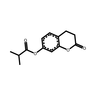 CC(C)C(=O)Oc1ccc2c(c1)OC(=O)CC2